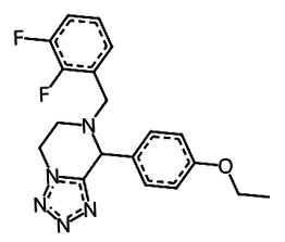 CCOc1ccc(C2c3nnnn3CCN2Cc2cccc(F)c2F)cc1